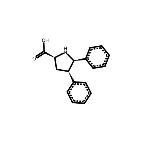 O=C(O)[C@@H]1C[C@H](c2ccccc2)[C@H](c2ccccc2)N1